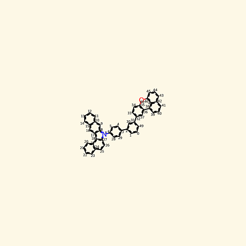 c1cc(-c2ccc(-n3c4cc5ccccc5cc4c4c5ccccc5ccc43)cc2)cc(-c2ccc3c(c2)-c2cccc4cccc(c24)O3)c1